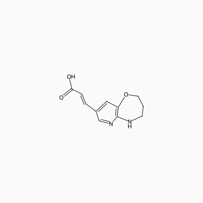 O=C(O)C=Cc1cnc2c(c1)OCCCN2